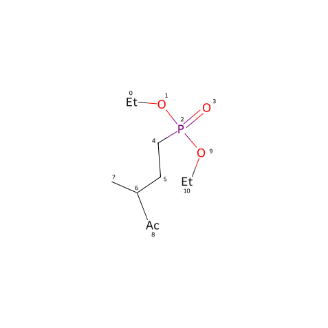 CCOP(=O)(CCC(C)C(C)=O)OCC